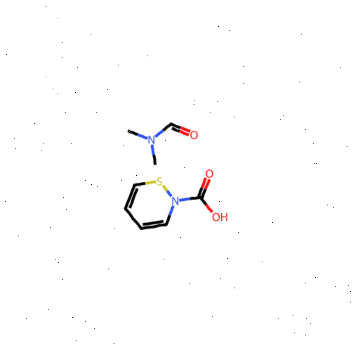 CN(C)C=O.O=C(O)N1C=CC=CS1